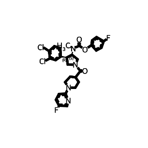 CN(C(=O)Oc1ccc(F)cc1)[C@@H]1CN(C(=O)C2CCN(c3ccc(F)cn3)CC2)C[C@H]1c1ccc(Cl)c(Cl)c1